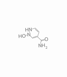 NC(=O)C1=CN(O)NC=C1